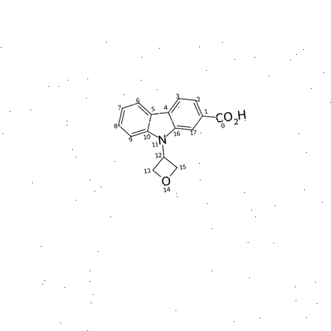 O=C(O)c1ccc2c3ccccc3n(C3COC3)c2c1